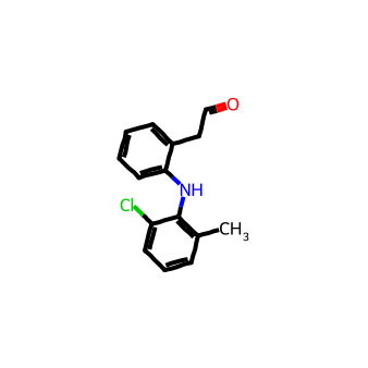 Cc1cccc(Cl)c1Nc1ccccc1CC=O